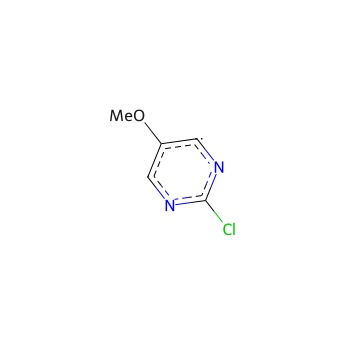 COc1[c]nc(Cl)nc1